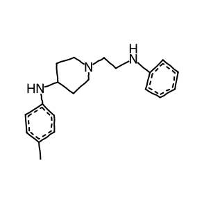 Cc1ccc(NC2CCN(CCNc3ccccc3)CC2)cc1